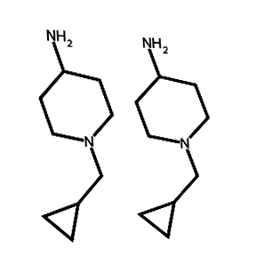 NC1CCN(CC2CC2)CC1.NC1CCN(CC2CC2)CC1